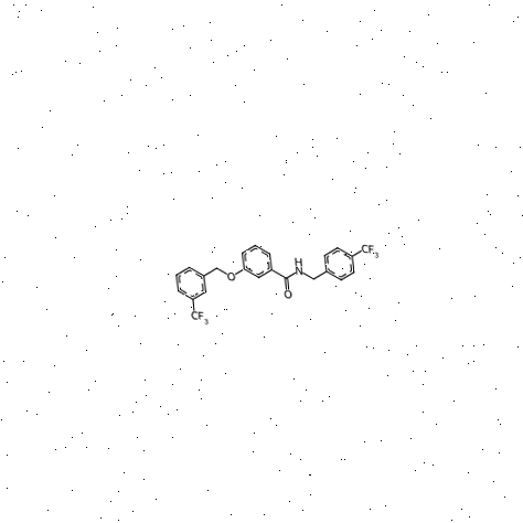 O=C(NCc1ccc(C(F)(F)F)cc1)c1cccc(OCc2cccc(C(F)(F)F)c2)c1